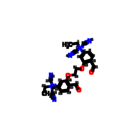 CC[N+](C#N)(C#N)c1ccc(C=O)c(OCCOc2cc([N+](C#N)(C#N)CC)ccc2C=O)c1